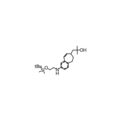 CC(C)(O)CC1C=Cc2cc(NCCO[Si](C)(C)C(C)(C)C)ccc2CC1